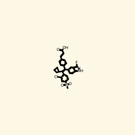 CS(=O)(=O)c1ccc(C(=C(c2ccc(C=CC(=O)O)cc2)c2ccc3[nH]nc(F)c3c2)C2CCC2)c(Cl)c1